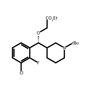 CCOC(=O)CO[C@@H](c1cccc(Cl)c1F)C1CCCN(C(C)(C)C)C1